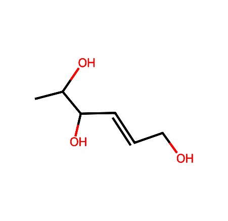 CC(O)C(O)C=CCO